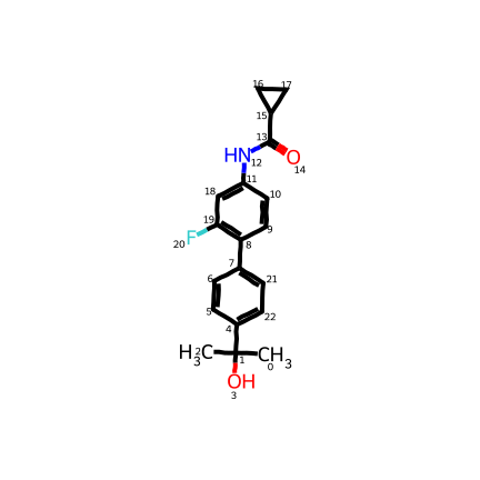 CC(C)(O)c1ccc(-c2ccc(NC(=O)C3CC3)cc2F)cc1